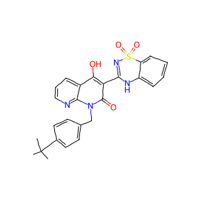 CC(C)(C)c1ccc(Cn2c(=O)c(C3=NS(=O)(=O)c4ccccc4N3)c(O)c3cccnc32)cc1